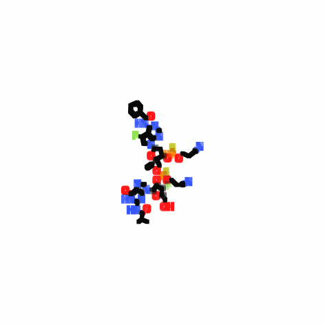 C#C[C@]1(COP(=S)(OCCC#N)O[C@@H]2[C@H](F)[C@@H](CO)O[C@H]2n2cnc3c(=O)[nH]c(NC(=O)C(C)C)nc32)O[C@@H](n2cc(F)c3c(NC(=O)c4ccccc4)ncnc32)C[C@@H]1O[PH](=S)OCCC#N